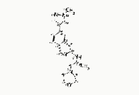 C=C(CN1CCOCC1)Nc1cc2cc(-c3cnn(C)c3)ccc2cn1